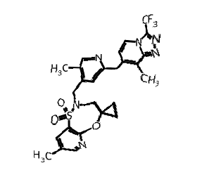 Cc1cnc2c(c1)S(=O)(=O)N(Cc1cc(Cc3ccn4c(C(F)(F)F)nnc4c3C)ncc1C)CC1(CC1)O2